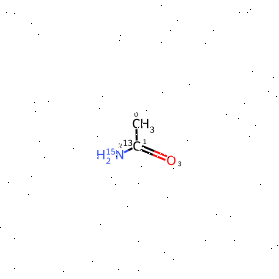 C[13C]([15NH2])=O